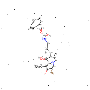 COc1c2n(cc(Br)c1=O)C[C@H](C)[C@](C)(CCCNC(=O)OCc1ccccc1)C2=O